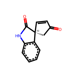 O=C1C=C[C@]2(C1)C(=O)Nc1ccccc12